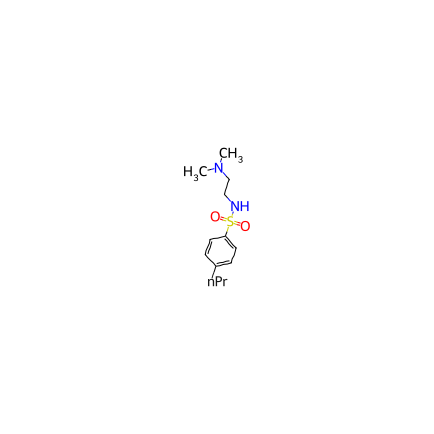 CCCc1ccc(S(=O)(=O)NCCN(C)C)cc1